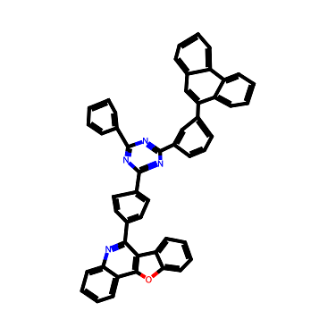 c1ccc(-c2nc(-c3ccc(-c4nc5ccccc5c5oc6ccccc6c45)cc3)nc(-c3cccc(-c4cc5ccccc5c5ccccc45)c3)n2)cc1